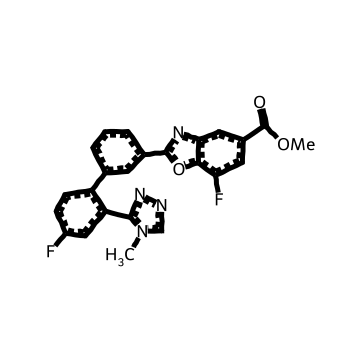 COC(=O)c1cc(F)c2oc(-c3cccc(-c4ccc(F)cc4-c4nncn4C)c3)nc2c1